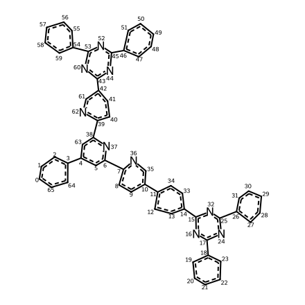 c1ccc(-c2cc(-c3ccc(-c4ccc(-c5nc(-c6ccccc6)nc(-c6ccccc6)n5)cc4)cn3)nc(-c3ccc(-c4nc(-c5ccccc5)nc(-c5ccccc5)n4)cn3)c2)cc1